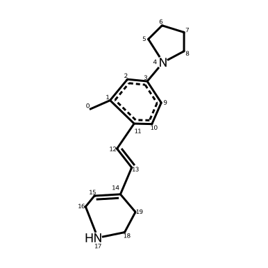 Cc1cc(N2CCCC2)ccc1/C=C/C1=CCNCC1